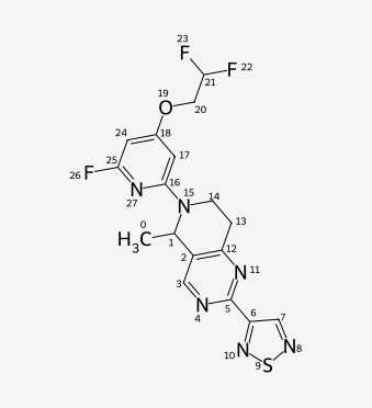 CC1c2cnc(-c3cnsn3)nc2CCN1c1cc(OCC(F)F)cc(F)n1